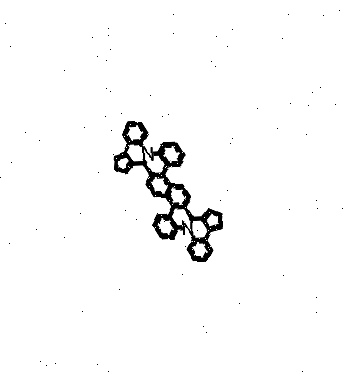 C1=C2C(=CC1)C1c3ccc4c5c(ccc4c3-c3ccccc3N1c1ccccc12)C1C2=CCC=C2c2ccccc2N1c1ccccc1-5